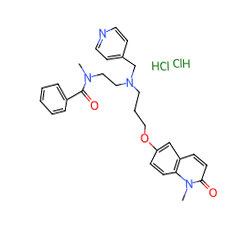 CN(CCN(CCCOc1ccc2c(ccc(=O)n2C)c1)Cc1ccncc1)C(=O)c1ccccc1.Cl.Cl